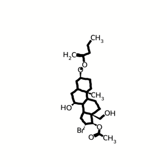 C=C(CCC)OO[C@H]1CC[C@@]2(C)C(C1)C[C@H](O)C1C2CC[C@@]2(CO)C1C[C@@H](Br)[C@@H]2OC(C)=O